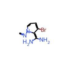 C=NN1C=CC=C(Br)C1=C(N)N